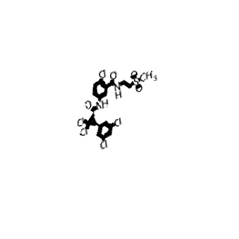 CS(=O)(=O)CCNC(=O)c1cc(NC(=O)[C@@H]2[C@@H](c3cc(Cl)cc(Cl)c3)C2(Cl)Cl)ccc1Cl